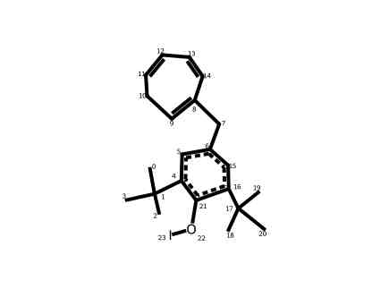 CC(C)(C)c1cc(CC2=CCC=CC=C2)cc(C(C)(C)C)c1OI